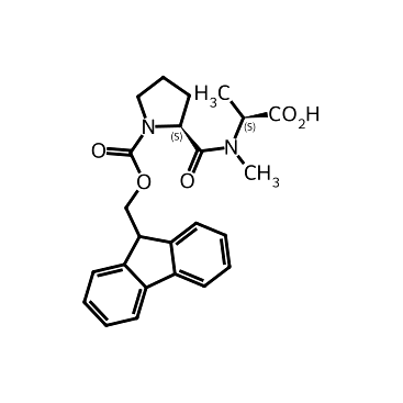 C[C@@H](C(=O)O)N(C)C(=O)[C@@H]1CCCN1C(=O)OCC1c2ccccc2-c2ccccc21